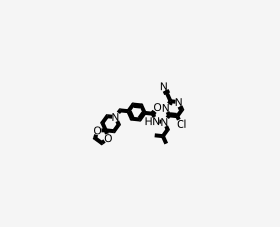 CC(C)CN(NC(=O)c1ccc(CN2CCC3(CC2)OCCO3)cc1)c1nc(C#N)ncc1Cl